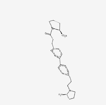 C[C@@H]1CCCN1CCc1ccc(-c2ccc(CCC(=O)N3CCC[C@H]3C(=O)O)cc2)cc1